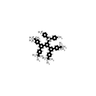 Cc1ccc(-c2nc(-c3ccc(C)cc3)nc(-c3cc(-c4cc(-c5ccc(C(C)(C)C)cc5)cc(-c5ccc(C(C)(C)C)cc5)c4)cc(-c4cc(-c5ccc(C(C)(C)C)cc5)cc(-c5ccc(C(C)(C)C)cc5)c4)c3)n2)cc1